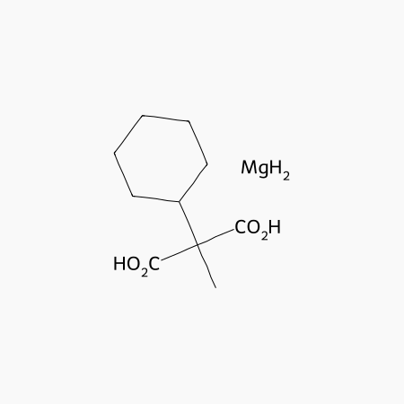 CC(C(=O)O)(C(=O)O)C1CCCCC1.[MgH2]